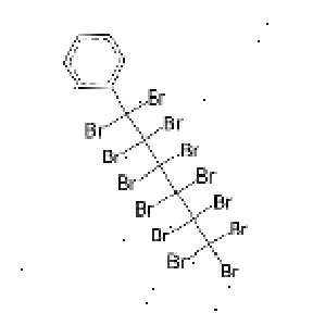 BrC(Br)(Br)C(Br)(Br)C(Br)(Br)C(Br)(Br)C(Br)(Br)C(Br)(Br)c1[c]cccc1